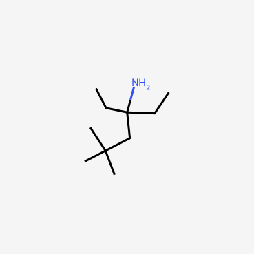 CCC(N)(CC)CC(C)(C)C